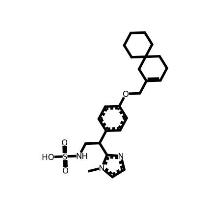 Cn1ccnc1C(CNS(=O)(=O)O)c1ccc(OCC2=CCCC3(CCCCC3)C2)cc1